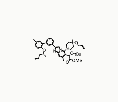 C=CCOC1(C)CCN(c2c(C(OC(C)(C)C)C(=O)OC)c(C)cc3nc(-c4cccc(-c5cc(C)ccc5O[C@@H](C)CC=C)c4)cn23)CC1